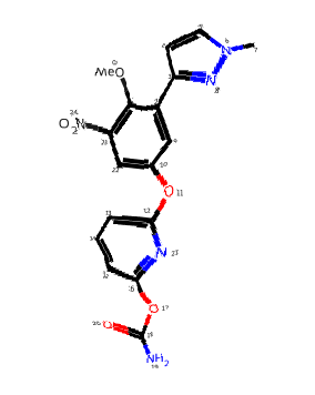 COc1c(-c2ccn(C)n2)cc(Oc2cccc(OC(N)=O)n2)cc1[N+](=O)[O-]